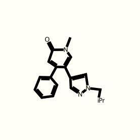 CC(C)Cn1cc(-c2cn(C)c(=O)cc2-c2ccccc2)cn1